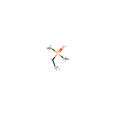 CCCCP(=O)(CCCC)CC(F)(F)F